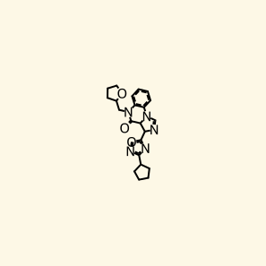 O=C1C2C(c3nc(C4CCCC4)no3)N=CN2c2ccccc2N1CC1CCCO1